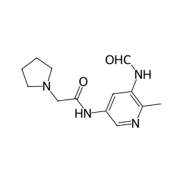 Cc1ncc(NC(=O)CN2CCCC2)cc1NC=O